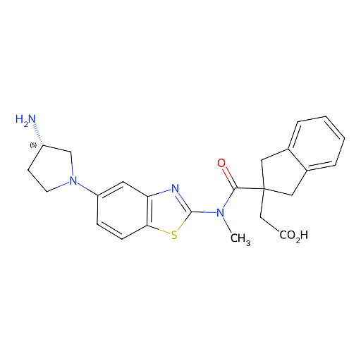 CN(C(=O)C1(CC(=O)O)Cc2ccccc2C1)c1nc2cc(N3CC[C@H](N)C3)ccc2s1